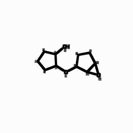 OC1CCCC1OC1CCC2OC12